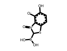 O=[N+]1c2c(ccc(O)c2[O-])SC1B(O)O